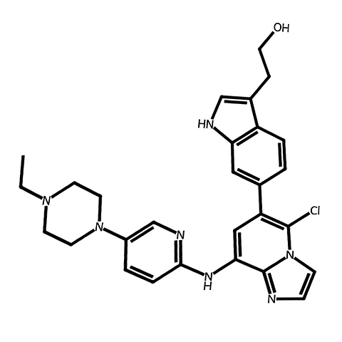 CCN1CCN(c2ccc(Nc3cc(-c4ccc5c(CCO)c[nH]c5c4)c(Cl)n4ccnc34)nc2)CC1